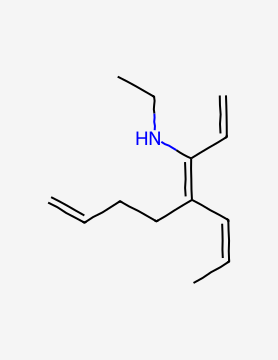 C=CCCC(/C=C\C)=C(/C=C)NCC